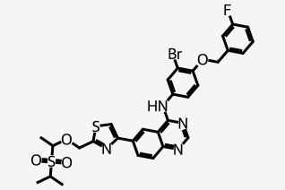 CC(C)S(=O)(=O)C(C)OCc1nc(-c2ccc3ncnc(Nc4ccc(OCc5cccc(F)c5)c(Br)c4)c3c2)cs1